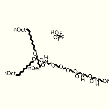 CCCCCCCC/C=C\CCCCCCCCOCC(OCCCCCCCC/C=C\CCCCCCCC)C(CCCCCCCCCCCC)OC(=O)NCCOCCOCCOCCOC(=O)CNCCOC(=O)CNCCOC.O=C(O)C(F)(F)F